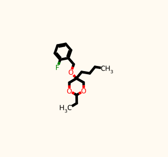 CCCCC1(OCc2ccccc2F)COC(CC)OC1